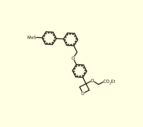 CCOC(=O)COC1(c2ccc(OCc3cccc(-c4ccc(SC)cc4)c3)cc2)COC1